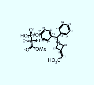 CCC(CC)(C(=O)OC)P(=O)(O)O.O=C(O)C=C1CN(C(c2ccccc2)c2ccccc2)C1